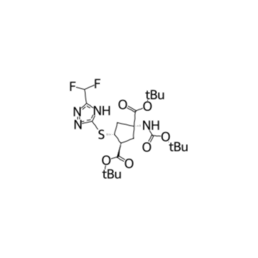 CC(C)(C)OC(=O)N[C@@]1(C(=O)OC(C)(C)C)C[C@@H](Sc2nnc(C(F)F)[nH]2)[C@H](C(=O)OC(C)(C)C)C1